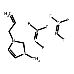 C=CCN1C=CN(C)C1.FN=S(F)F.FN=S(F)F